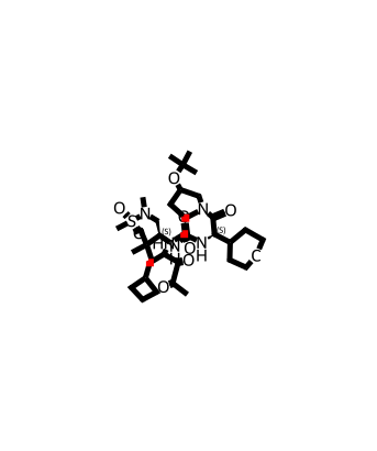 CC(=O)C(=O)C(CC1CCC1)NC(=O)[C@@H]1CC(OC(C)(C)C)CN1C(=O)[C@@H](NC(=O)N[C@H](CN(C)S(C)(=O)=O)C(C)(C)C)C1CCCCC1